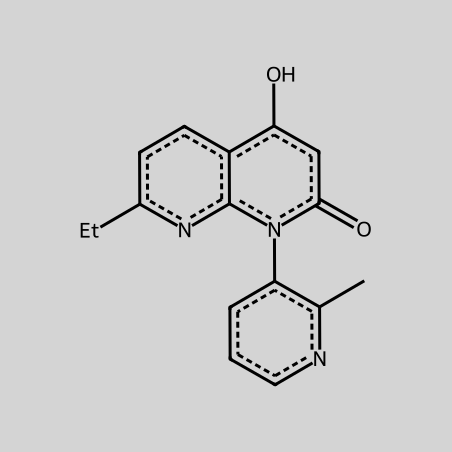 CCc1ccc2c(O)cc(=O)n(-c3cccnc3C)c2n1